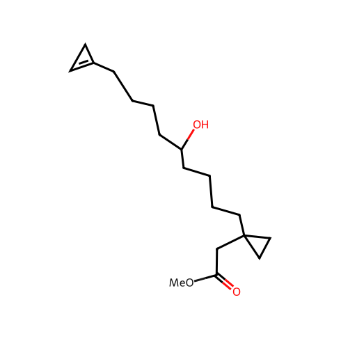 COC(=O)CC1(CCCCC(O)CCCCC2=CC2)CC1